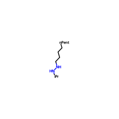 CCCCCCCCCNNC(C)C